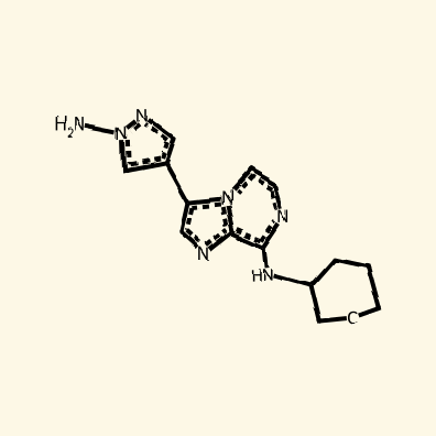 Nn1cc(-c2cnc3c(NC4CCCCC4)nccn23)cn1